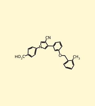 Cc1ccccc1COc1cccc(-c2cn(-c3ccc(C(=O)O)cc3)cc2C#N)c1